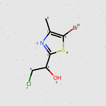 Cc1nc(C(O)CCl)sc1Br